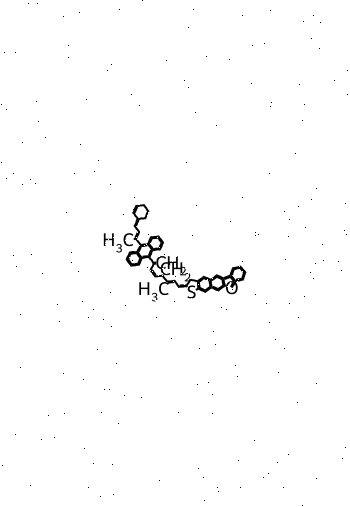 C=C(/C=C\C(=C)c1c2ccccc2c(/C(C)=C/C=C2/C=CCCC2)c2ccccc12)/C(C)=C/C=C1\Cc2cc3cc4c(cc3cc2S1)oc1ccccc14